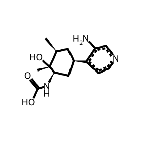 C[C@H]1C[C@@H](c2ccncc2N)C[C@@H](NC(=O)O)[C@]1(C)O